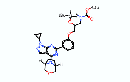 CN(CC(COc1cccc(-c2nc(N3[C@@H]4CC[C@H]3COC4)c3cnn(C4CC4)c3n2)c1)O[Si](C)(C)C(C)(C)C)C(=O)OC(C)(C)C